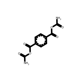 NC(=O)OC(=O)c1ccc(C(=O)OC(N)=O)cc1